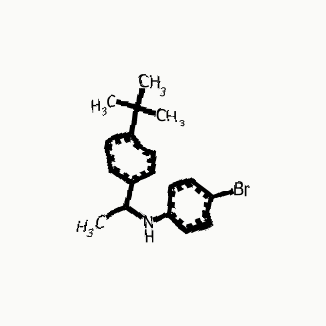 CC(Nc1ccc(Br)cc1)c1ccc(C(C)(C)C)cc1